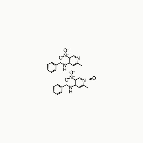 C=O.Cc1cc(NCc2ccccc2)c([N+](=O)[O-])cn1.Cc1cc(NCc2ccccc2)c([N+](=O)[O-])cn1